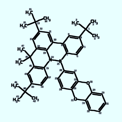 CC(C)(C)c1ccc2c(c1)-c1cc(C(C)(C)C)cc3c1N(B2c1ccc2c(c1)Oc1ccccc1O2)c1ccc(C(C)(C)C)cc1C3(C)C